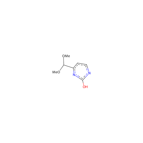 COC(OC)c1ccnc(O)n1